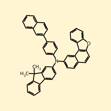 CC1(C)c2ccccc2-c2ccc(N(c3ccc(-c4ccc5ccccc5c4)cc3)c3ccc4ccc5oc6ccccc6c5c4c3)cc21